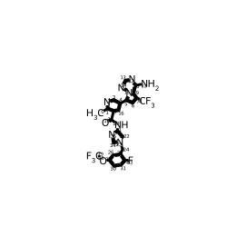 Cc1ncc(-c2cc(C(F)(F)F)c3c(N)ncnn23)cc1C(=O)Nc1cn(Cc2cc(OC(F)(F)F)ccc2F)cn1